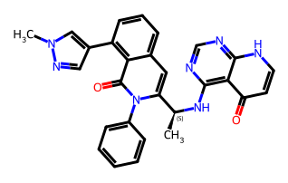 C[C@H](Nc1ncnc2[nH]ccc(=O)c12)c1cc2cccc(-c3cnn(C)c3)c2c(=O)n1-c1ccccc1